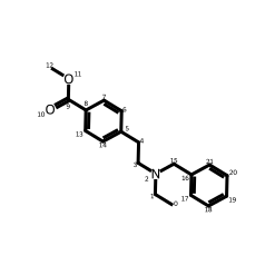 CCN(CCc1ccc(C(=O)OC)cc1)Cc1ccccc1